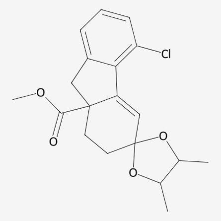 COC(=O)C12CCC3(C=C1c1c(Cl)cccc1C2)OC(C)C(C)O3